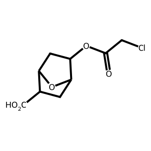 O=C(CCl)OC1CC2OC1CC2C(=O)O